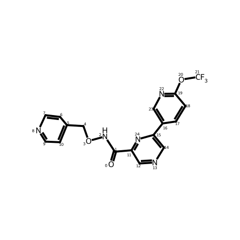 O=C(NOCc1ccncc1)c1cncc(-c2ccc(OC(F)(F)F)nc2)n1